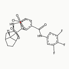 CS(=O)(=O)N[C@H]1CC2CCC(C1)[C@@H]2S(=O)(=O)c1cc(C(=O)Nc2cc(F)c(F)c(F)c2)ccc1Cl